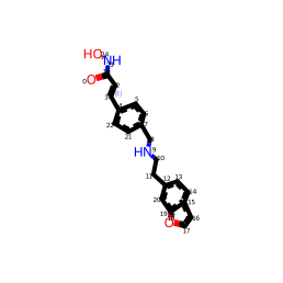 O=C(/C=C/c1ccc(CNCCc2ccc3ccoc3c2)cc1)NO